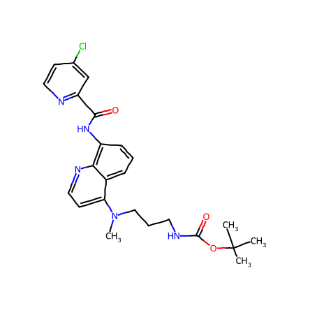 CN(CCCNC(=O)OC(C)(C)C)c1ccnc2c(NC(=O)c3cc(Cl)ccn3)cccc12